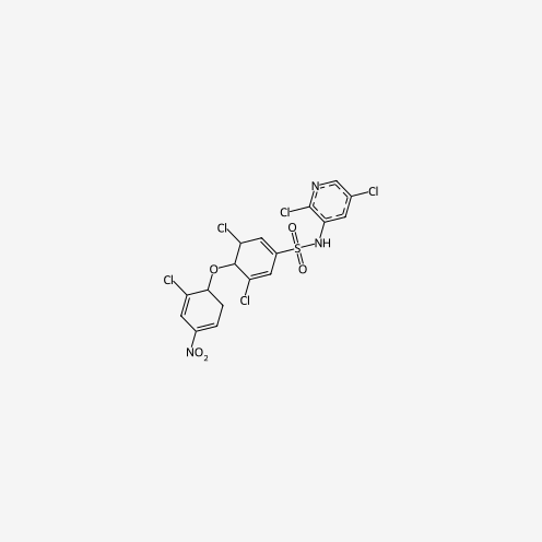 O=[N+]([O-])C1=CCC(OC2C(Cl)=CC(S(=O)(=O)Nc3cc(Cl)cnc3Cl)=CC2Cl)C(Cl)=C1